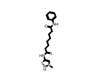 CN1C=C(NC(=S)CCCCCCC(=O)Nc2ccccc2)SN1